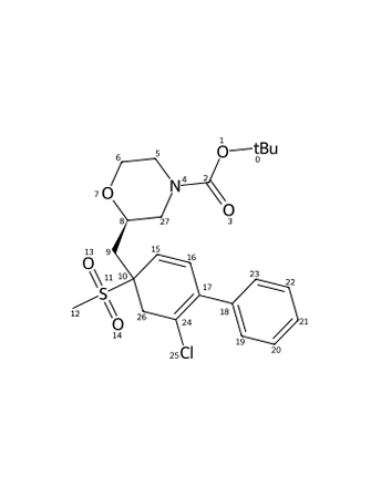 CC(C)(C)OC(=O)N1CCO[C@H](CC2(S(C)(=O)=O)C=CC(c3ccccc3)=C(Cl)C2)C1